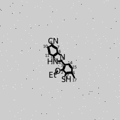 CCOc1c(-c2nc3cc(C#N)ccc3[nH]2)ccc(C)c1S